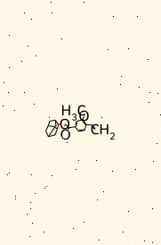 C=Cc1ccc(C(=O)OC2C3CC4CC(C3)CC2C4)cc1OC